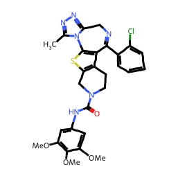 COc1cc(NC(=O)N2CCc3c(sc4c3C(c3ccccc3Cl)=NCc3nnc(C)n3-4)C2)cc(OC)c1OC